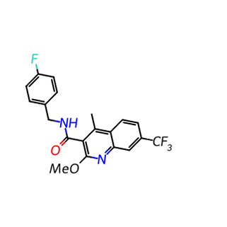 COc1nc2cc(C(F)(F)F)ccc2c(C)c1C(=O)NCc1ccc(F)cc1